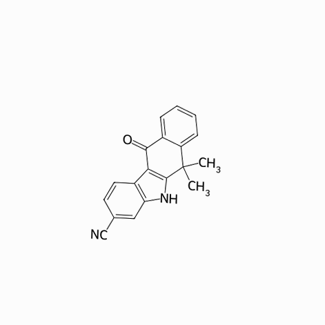 CC1(C)c2ccccc2C(=O)c2c1[nH]c1cc(C#N)ccc21